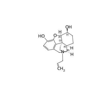 C=CCN1CC[C@]23c4c5ccc(O)c4O[C@H]2[C@@H](O)CC[C@H]3[C@H]1C5